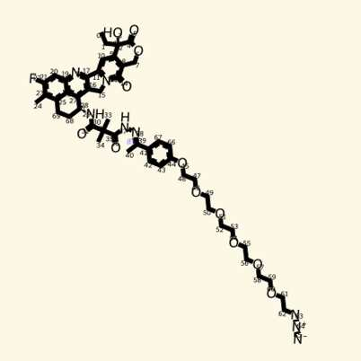 CC[C@]1(O)C(=O)OCc2c1cc1n(c2=O)Cc2c-1nc1cc(F)c(C)c3c1c2[C@H](NC(=O)C(C)(C)C(=O)N/N=C(\C)c1ccc(OCCOCCOCCOCCOCCOCCN=[N+]=[N-])cc1)CC3